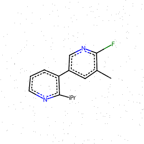 Cc1cc(-c2cccnc2C(C)C)cnc1F